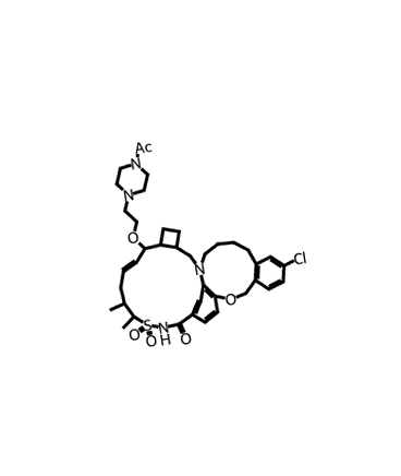 CC(=O)N1CCN(CCOC2/C=C/CC(C)C(C)S(=O)(=O)NC(=O)c3ccc4c(c3)N(CCCCc3cc(Cl)ccc3CO4)CC3CCC32)CC1